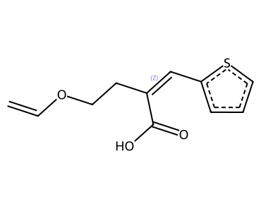 C=COCC/C(=C/c1cccs1)C(=O)O